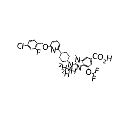 [2H]C([2H])([2H])N(c1nc2c(OC(F)F)cc(C(=O)O)cc2n1C)C1CCC(c2cccc(OCc3ccc(Cl)cc3F)n2)CC1